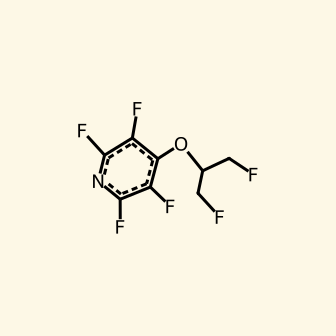 FCC(CF)Oc1c(F)c(F)nc(F)c1F